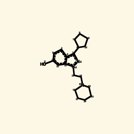 Oc1ccc2c(C3CCCC3)nn(CCN3CCCCC3)c2c1